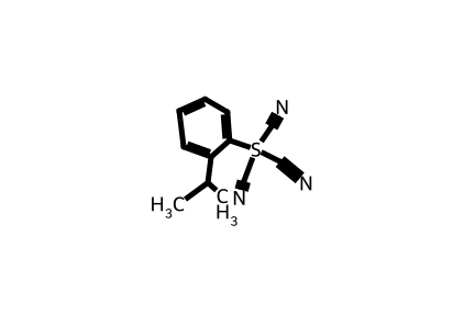 CC(C)c1ccccc1S(C#N)(C#N)C#N